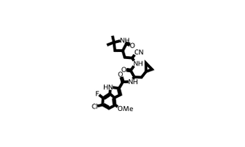 COc1cc(Cl)c(F)c2[nH]c(C(=O)NC(CC3CC3)C(=O)NC(C#N)CC3CC(C)(C)NC3=O)cc12